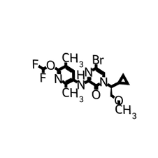 COC[C@H](C1CC1)n1cc(Br)nc(Nc2cc(C)c(OC(F)F)nc2C)c1=O